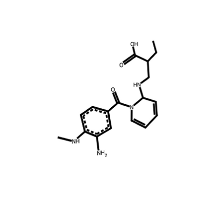 CCC(CNC1C=CC=CN1C(=O)c1ccc(NC)c(N)c1)C(=O)O